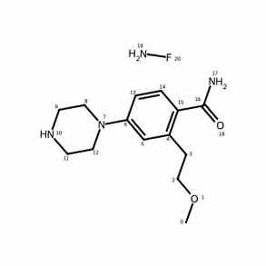 COCCc1cc(N2CCNCC2)ccc1C(N)=O.NF